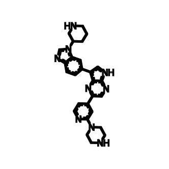 c1cc(-c2cnc3[nH]cc(-c4ccc5ncn(C6CCCNC6)c5c4)c3n2)cc(N2CCNCC2)n1